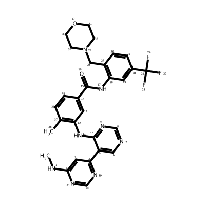 CNc1cc(-c2cncnc2Nc2cc(C(=O)Nc3cc(C(F)(F)F)ccc3CN3CCOCC3)ccc2C)ncn1